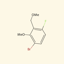 COCc1c(F)ccc(Br)c1OC